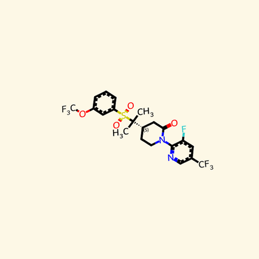 CC(C)([C@H]1CCN(c2ncc(C(F)(F)F)cc2F)C(=O)C1)S(=O)(=O)c1cccc(OC(F)(F)F)c1